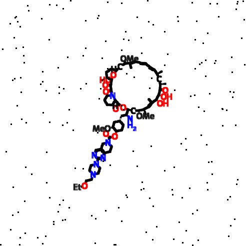 CCOCCN1CCN(c2ncc3c(n2)CCN(C(=O)O[C@@H]2CC[C@@H](C[C@@H](N)[C@@H]4C[C@@H](OC)[C@H](C)/C=C(\C)[C@@H](O)[C@@H](O)C(=O)[C@H](C)C[C@H](C)/C=C/C=C/C=C(\C)[C@@H](OC)C[C@@H]5CC[C@@H](C)[C@@](O)(O5)C(=O)C(=O)N5CCCC[C@H]5C(=O)O4)C[C@H]2OC)C3)CC1